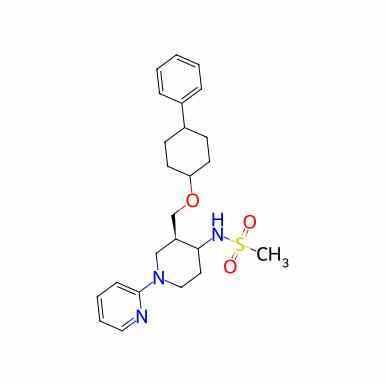 CS(=O)(=O)NC1CCN(c2ccccn2)C[C@H]1COC1CCC(c2ccccc2)CC1